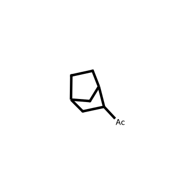 [CH2]C(=O)C1CC2CCC1C2